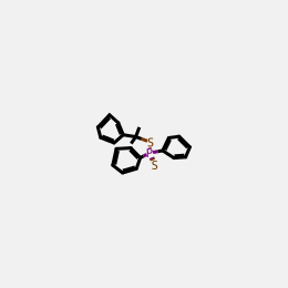 CC(C)(SP(=S)(c1ccccc1)c1ccccc1)c1ccccc1